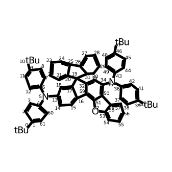 CC(C)(C)c1ccc(N(c2ccc(C(C)(C)C)cc2)c2ccc3c(c2)C2(c4ccccc4C4=CC=CCC42)c2cc(N(c4ccc(C(C)(C)C)cc4)c4ccc(C(C)(C)C)cc4)c4c(oc5ccccc54)c2-3)cc1